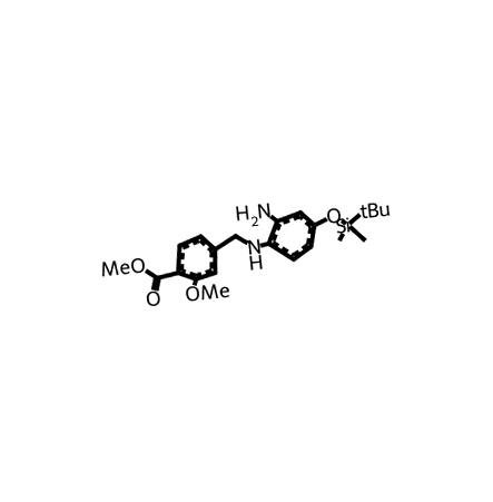 COC(=O)c1ccc(CNc2ccc(O[Si](C)(C)C(C)(C)C)cc2N)cc1OC